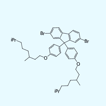 CC(C)CCCC(C)CCOc1ccc(C2(c3ccc(OCCC(C)CCCC(C)C)cc3)c3cc(Br)ccc3-c3ccc(Br)cc32)cc1